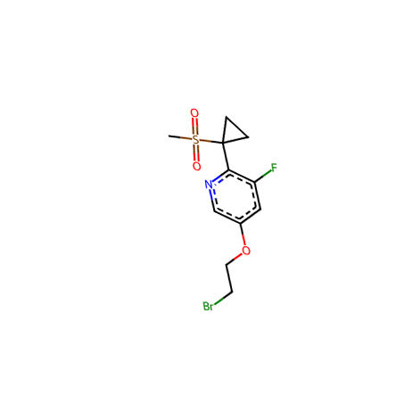 CS(=O)(=O)C1(c2ncc(OCCBr)cc2F)CC1